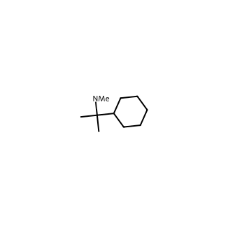 CNC(C)(C)C1CCCCC1